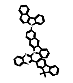 CC1(C)c2ccccc2-c2ccc(-c3nc4ccccc4nc3-n3c4ccccc4c4cc5cc(-n6c7ccccc7c7c8ccccc8ccc76)ccc5cc43)cc21